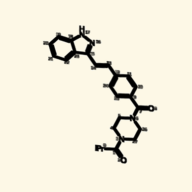 CC(C)C(=O)N1CCN(C(=O)c2ccc(C=Cc3n[nH]c4ccccc34)cc2)CC1